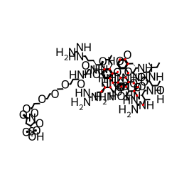 CC[C@H](C)[C@H](NC(=O)[C@@H](NC(=O)[C@@H](NC(=O)[C@@H](NC(=O)[C@H](Cc1ccccc1)NC(=O)[C@H](CC(C)C)NC(=O)[C@H](CC(C)C)NC(=O)[C@H](CCCNC(=N)N)NC(=O)CNC(=O)CCOCCOCCOCCC(=O)ON1C(=O)CC(S(=O)(=O)O)C1=O)C(C)O)C(C)C)C(C)O)C(=O)N[C@@H](CCC(=O)O)C(=O)N[C@@H](CCCNC(=N)N)C(=O)N[C@@H](Cc1ccc(O)cc1)C(=O)N[C@@H](CCCNC(=N)N)C(N)=O